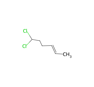 CC=CCCC(Cl)Cl